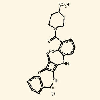 CC[C@@H](Nc1c(Nc2cccc(C(=O)N3CCC(C(=O)O)CC3)c2O)c(=O)c1=O)c1ccccc1